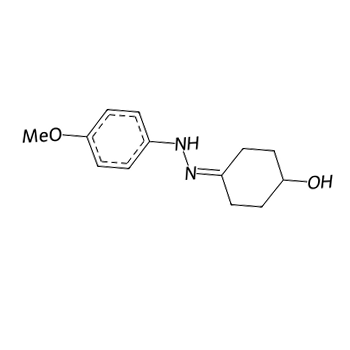 COc1ccc(NN=C2CCC(O)CC2)cc1